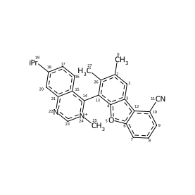 Cc1cc2c(oc3cccc(C#N)c32)c(-c2c3ccc(C(C)C)cc3nc[n+]2C)c1C